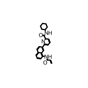 C=CC(=O)Nc1cccc2ccc(-c3cccc(C(=O)NC4CCCCC4)n3)cc12